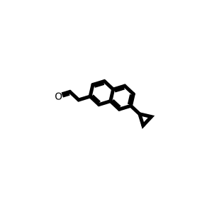 O=CCc1ccc2ccc(C3CC3)cc2c1